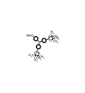 COc1ccc(N(c2ccc(B3OC(C)(C)C(C)(C)O3)cc2)c2ccc(B3OC(C)(C)C(C)(C)O3)cc2)cc1